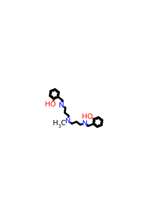 CN(CCCN=Cc1ccccc1O)CCCN=Cc1ccccc1O